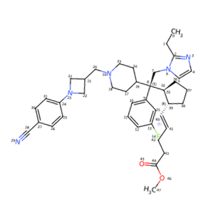 CCc1nccn1C[C@@](c1cccc(F)c1)(C1CCN(CC2CN(c3ccc(C#N)cc3)C2)CC1)[C@H]1CCC[C@@H]1/C=C/CCC(=O)OC